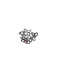 CC(C)(c1c(-n2c3ccccc3c3ccc4c5ccccc5sc4c32)c(-c2ccccc2C(F)(F)F)cc(-c2ccccc2C(F)(F)F)c1-n1c2ccccc2c2ccc3c4ccccc4sc3c21)n1c2ccccc2c2ccccc21